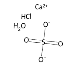 Cl.O.O=S(=O)([O-])[O-].[Ca+2]